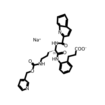 O=C([O-])CCc1ccccc1NC(=O)[C@H](CCCNC(=O)OCc1cccnc1)NC(=O)c1ccc2ccccc2n1.[Na+]